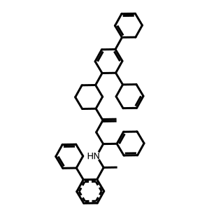 C=C(CC(NC(C)c1ccccc1C1C=CC=CC1)C1=CCCC=C1)C1CCCC(C2C=CC(C3=CC=CCC3)=CC2C2CC=CCC2)C1